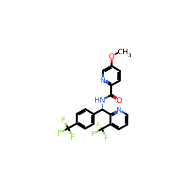 COc1ccc(C(=O)N[C@@H](c2ccc(C(F)(F)F)cc2)c2ncccc2C(F)(F)F)nc1